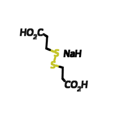 O=C(O)CCSSCCC(=O)O.[NaH]